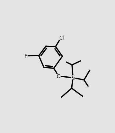 CC(C)[Si](Oc1cc(F)cc(Cl)c1)(C(C)C)C(C)C